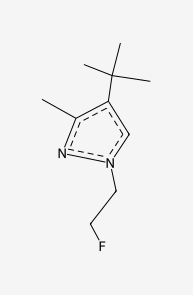 Cc1nn(CCF)cc1C(C)(C)C